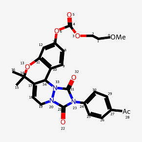 COCCOC(=O)Oc1ccc2c(c1)OC(C)(C)C1=CCn3c(=O)n(-c4ccc(C(C)=O)cc4)c(=O)n3C12